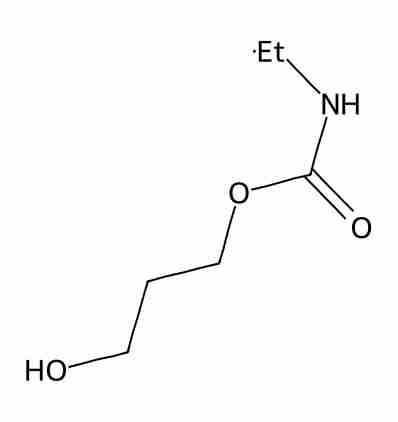 C[CH]NC(=O)OCCCO